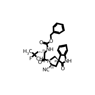 CC(C)(F)C[C@H](NC(=O)OCc1ccccc1)C(=O)N1C[C@]2(C[C@H]1C#N)C(=O)Nc1ccccc12